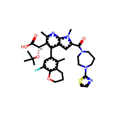 Cc1nc2c(cc(C(=O)N3CCCN(c4nccs4)CC3)n2C)c(-c2cc(F)c3c(c2C)CCCO3)c1[C@H](OC(C)(C)C)C(=O)O